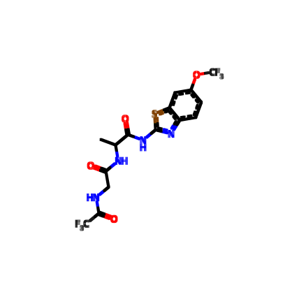 CC(NC(=O)CNC(=O)C(F)(F)F)C(=O)Nc1nc2ccc(OC(F)(F)F)cc2s1